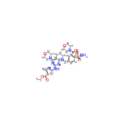 CCOC(=O)c1sc(Nc2nc(N3CCOCC3)c3c(n2)N(Cc2ccc(S(N)(=O)=O)c(C(=O)N4CCOCC4)c2)CCC3)nc1C